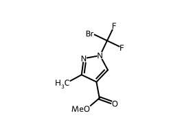 COC(=O)c1cn(C(F)(F)Br)nc1C